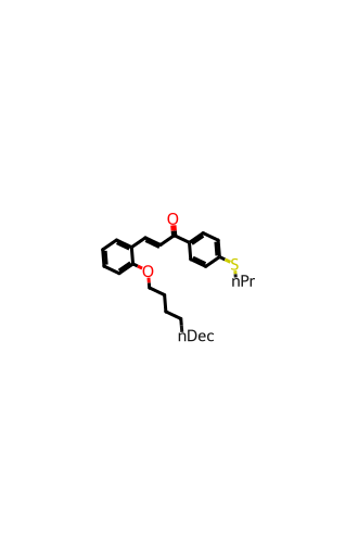 CCCCCCCCCCCCCCOc1ccccc1/C=C/C(=O)c1ccc(SCCC)cc1